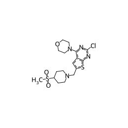 CS(=O)(=O)C1CCN(Cc2cc3c(N4CCOCC4)nc(Cl)nc3s2)CC1